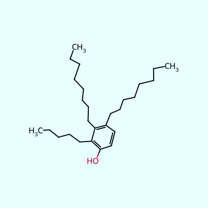 CCCCCCCCc1ccc(O)c(CCCCC)c1CCCCCCCC